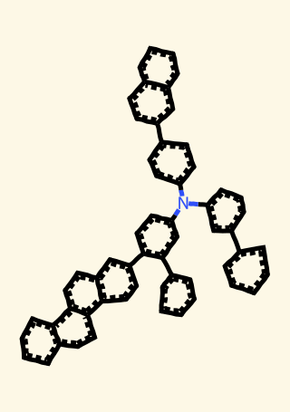 c1ccc(-c2cccc(N(c3ccc(-c4ccc5ccccc5c4)cc3)c3ccc(-c4ccc5c(ccc6c7ccccc7ccc56)c4)c(-c4ccccc4)c3)c2)cc1